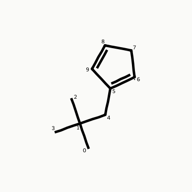 CC(C)(C)CC1=[C]CC=C1